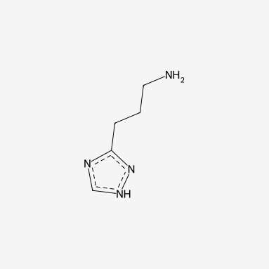 NCCCc1nc[nH]n1